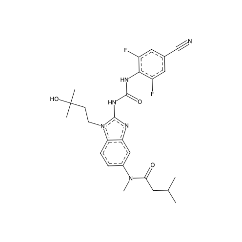 CC(C)CC(=O)N(C)c1ccc2c(c1)nc(NC(=O)Nc1c(F)cc(C#N)cc1F)n2CCC(C)(C)O